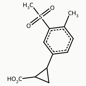 Cc1ccc(C2CC2C(=O)O)cc1S(C)(=O)=O